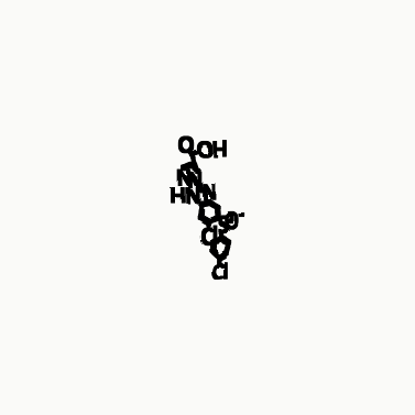 O=C(O)c1cnn(-c2nc3cc([S+]([O-])c4ccc(Cl)cc4)c(Cl)cc3[nH]2)c1